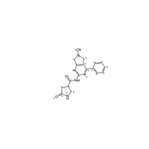 N#CN1Cc2nc(NC(=O)C3CNC(=O)C3)nc(-c3ccccc3)c2C1